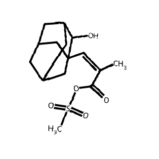 CC(=CC12CC3CC(CC(C3)C1O)C2)C(=O)OS(C)(=O)=O